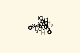 CC1=C(C(=O)OCCOc2ccccc2)C(c2cccc(Cl)c2C)C2=C(CN(Cc3ccccc3)CC2=O)N1.Cl